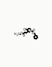 CCOC(=O)C=CC1=C(Cl)CCN(C(=O)OCc2ccccc2)C1